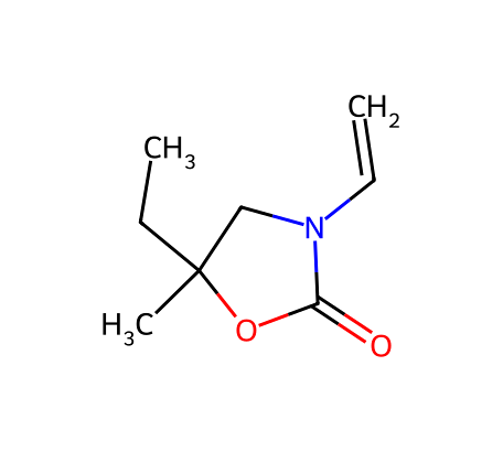 C=CN1CC(C)(CC)OC1=O